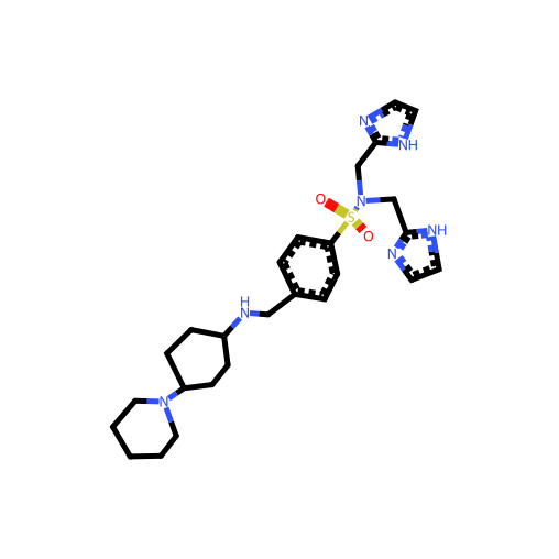 O=S(=O)(c1ccc(CNC2CCC(N3CCCCC3)CC2)cc1)N(Cc1ncc[nH]1)Cc1ncc[nH]1